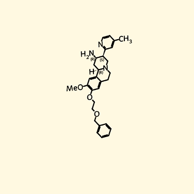 COc1cc2c(cc1OCCOCc1ccccc1)CCN1C[C@H](c3cc(C)ccn3)[C@H](N)C[C@H]21